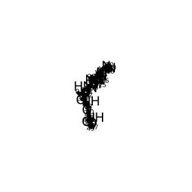 CCc1cc(Nc2nccn3c(-c4cn(Cc5ccncn5)nc4C(F)(F)F)cnc23)ccc1C(=O)NCCOCCNC(=O)OC(C)(C)C